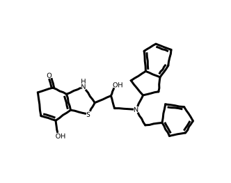 O=C1CC=C(O)C2=C1NC(C(O)CN(Cc1ccccc1)C1Cc3ccccc3C1)S2